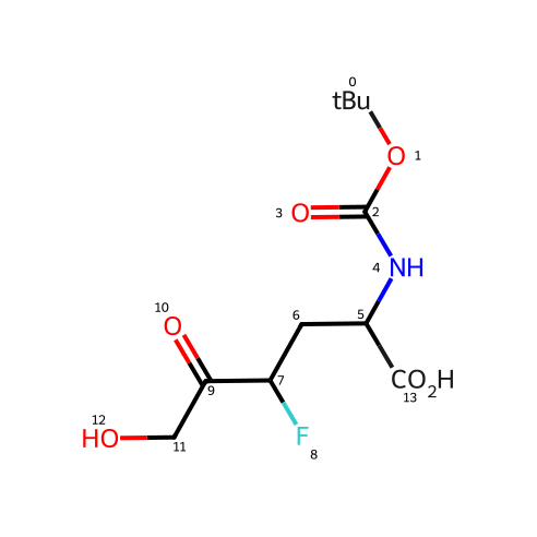 CC(C)(C)OC(=O)NC(CC(F)C(=O)CO)C(=O)O